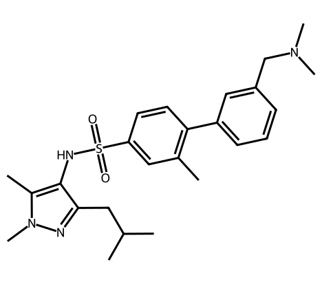 Cc1cc(S(=O)(=O)Nc2c(CC(C)C)nn(C)c2C)ccc1-c1cccc(CN(C)C)c1